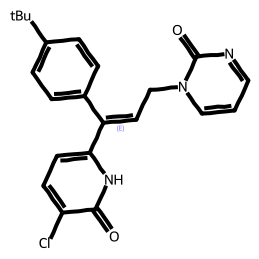 CC(C)(C)c1ccc(/C(=C\Cn2cccnc2=O)c2ccc(Cl)c(=O)[nH]2)cc1